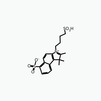 CC1=[N+](CCCCS(=O)(=O)O)c2ccc3c(S(=O)(=O)[O-])cccc3c2C1(C)C